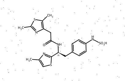 Cc1csc([C@H](Cc2ccc(NS(=O)(=O)O)cc2)NC(=O)Cc2nc(C)sc2C)n1